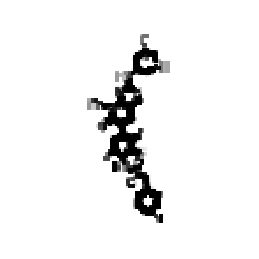 CC(C)n1c(=O)c(-c2cc(F)c(NS(=O)(=O)Cc3ccc(C#N)cc3)c(F)c2F)cc2cnc(N[C@@H]3CNC[C@@H](F)C3)nc21